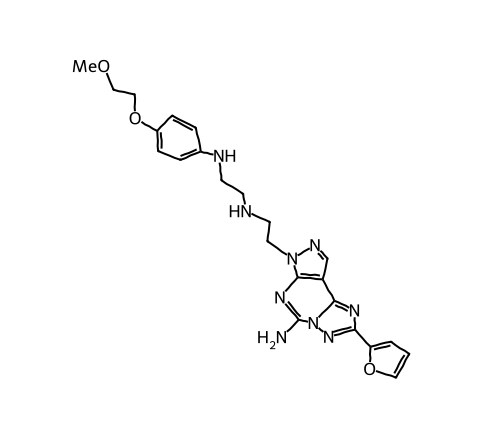 COCCOc1ccc(NCCNCCn2ncc3c2nc(N)n2nc(-c4ccco4)nc32)cc1